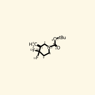 C=C1CN(C(=O)OC(C)(C)C)CCC1(F)F